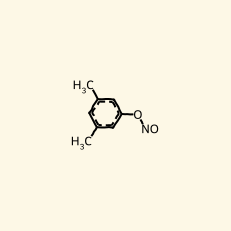 Cc1cc(C)cc(ON=O)c1